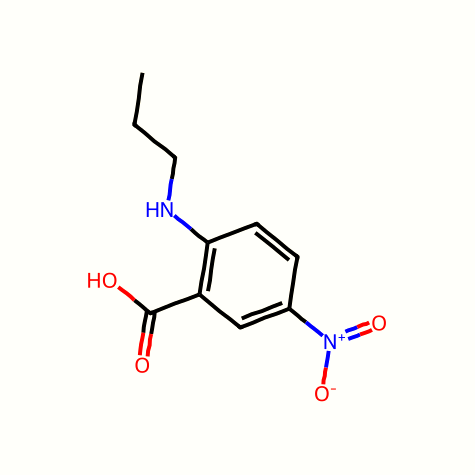 CCCNc1ccc([N+](=O)[O-])cc1C(=O)O